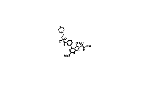 CSc1nc(-c2cccc(NS(=O)(=O)CCN3CCSCC3)c2)c2c(N)c(C(=O)NC(C)(C)C)sc2n1